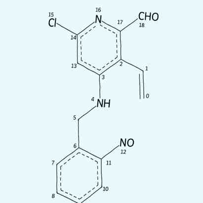 C=Cc1c(NCc2ccccc2N=O)cc(Cl)nc1C=O